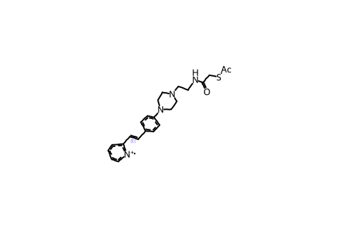 CC(=O)SCC(=O)NCCN1CCN(c2ccc(/C=C/c3cccc[n+]3C)cc2)CC1